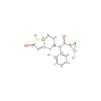 O=C1C=C2CN(C(C(=O)C3CC3F)c3ccccc3F)CCC2S1